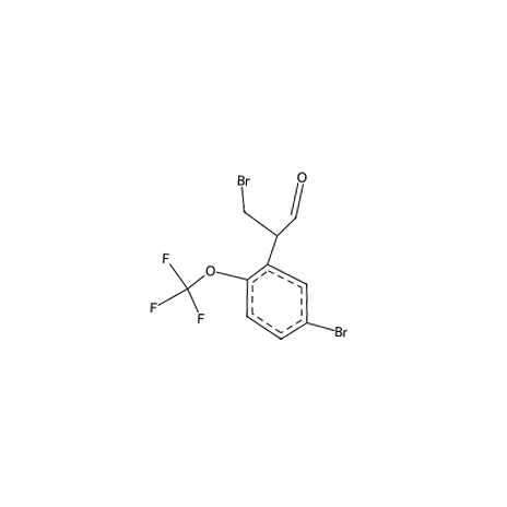 O=CC(CBr)c1cc(Br)ccc1OC(F)(F)F